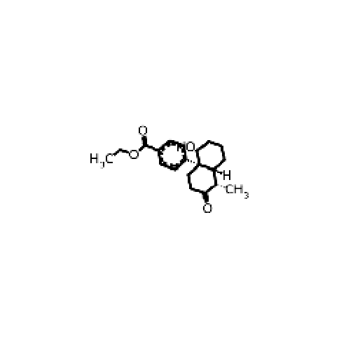 CCOC(=O)c1ccc([C@@]23CCC(=O)[C@@H](C)[C@H]2CCC[C@@H]3O)cc1